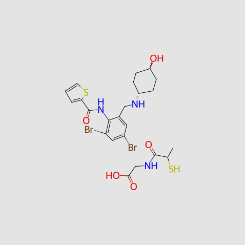 CC(S)C(=O)NCC(=O)O.O=C(Nc1c(Br)cc(Br)cc1CN[C@H]1CC[C@H](O)CC1)c1cccs1